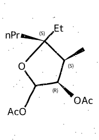 CCC[C@]1(CC)OC(OC(C)=O)[C@H](OC(C)=O)[C@@H]1C